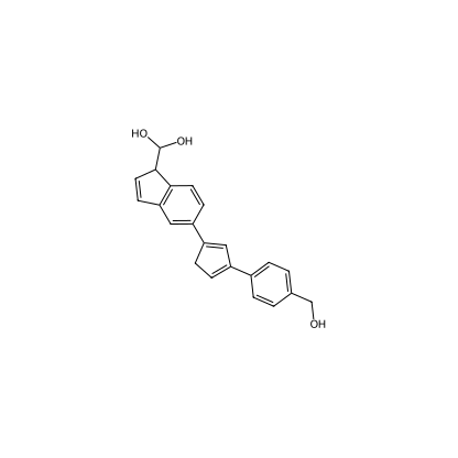 OCc1ccc(C2=CCC(c3ccc4c(c3)C=CC4C(O)O)=C2)cc1